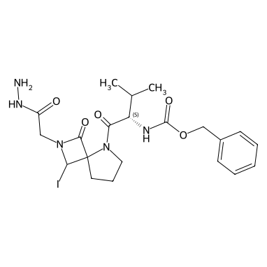 CC(C)[C@H](NC(=O)OCc1ccccc1)C(=O)N1CCCC12C(=O)N(CC(=O)NN)C2I